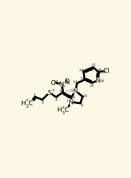 C=CCSC/C(=C1\N(C)CCN1Cc1ccc(Cl)nc1)[N+](=O)[O-]